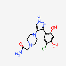 NC(=O)CN1CCN(c2c[nH]nc2-c2cc(Cl)c(O)cc2O)CC1